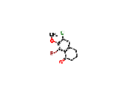 COc1c(Cl)cc2c(c1Br)C(=O)CCC2